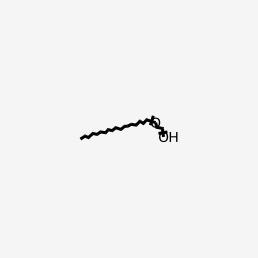 CCCCCCCCCCCCCCCCCCC(C)(C)OCCC(C)(C)O